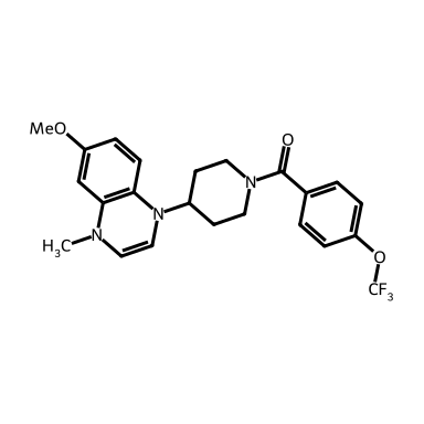 COc1ccc2c(c1)N(C)C=CN2C1CCN(C(=O)c2ccc(OC(F)(F)F)cc2)CC1